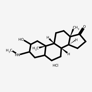 CNC1CC2CC[C@@H]3[C@@H](CC[C@]4(C)C(=O)CC[C@@H]34)[C@@]2(C)CC1O.Cl